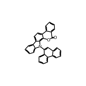 O=c1oc2c(ccc3c4ccccc4n(-c4cc5ccccc5c5ccccc45)c32)c2ccccc12